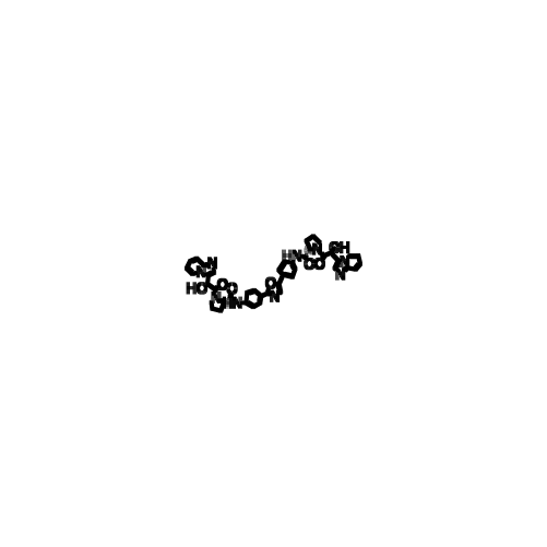 O=C(Nc1ccc(-c2cnc(-c3ccc(NC(=O)[C@@H]4CCCN4C(=O)C(O)c4cnc5ccccn45)cc3)o2)cc1)[C@@H]1CCCN1C(=O)C(O)c1cnc2ccccn12